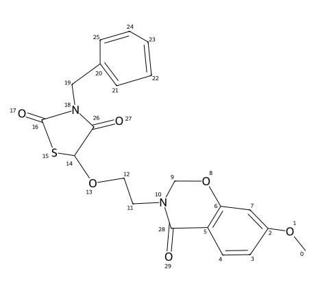 COc1ccc2c(c1)OCN(CCOC1SC(=O)N(Cc3ccccc3)C1=O)C2=O